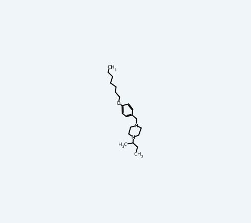 CCCCCCCOc1ccc(CN2CCN(C(C)CC)CC2)cc1